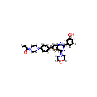 C=CC(=O)N1CCN(c2ccc(-c3cc4nc(-c5cccc(O)c5)nc(N5CCOCC5)c4s3)cc2)CC1